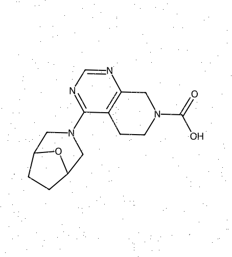 O=C(O)N1CCc2c(ncnc2N2CC3CCC(C2)O3)C1